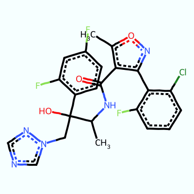 Cc1onc(-c2c(F)cccc2Cl)c1C(=O)NC(C)C(O)(Cn1cncn1)c1ccc(F)cc1F